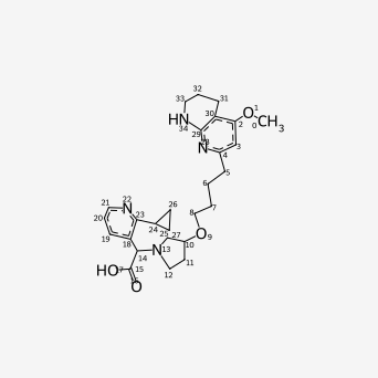 COc1cc(CCCCOC2CCN(C(C(=O)O)c3cccnc3C3CC3)C2)nc2c1CCCN2